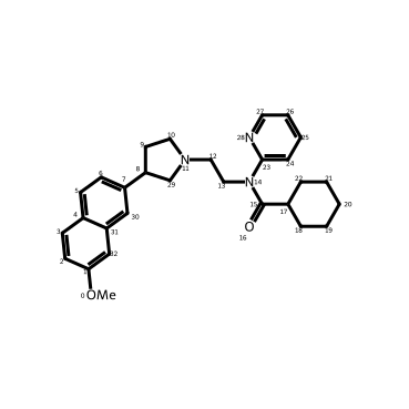 COc1ccc2ccc(C3CCN(CCN(C(=O)C4CCCCC4)c4ccccn4)C3)cc2c1